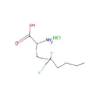 CCCCC(F)(F)CC(N)C(=O)O.Cl